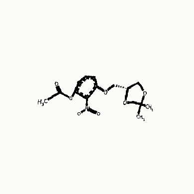 CC(=O)Oc1cccc(OC[C@@H]2COC(C)(C)O2)c1[N+](=O)[O-]